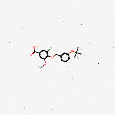 COc1cc(C(=O)O)cc(Cl)c1OCc1cccc(OC(C)(C)C)c1